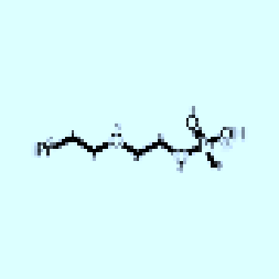 CC(C)CCOCCOP(C)(=O)O